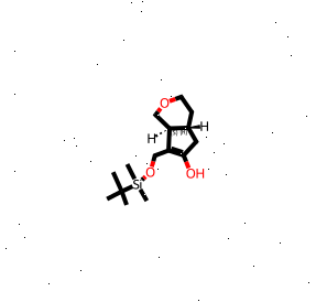 CC(C)(C)[Si](C)(C)OCC1=C(O)C[C@H]2CCOC[C@H]12